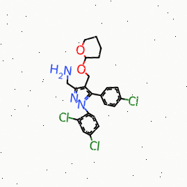 NCc1nn(-c2ccc(Cl)cc2Cl)c(-c2ccc(Cl)cc2)c1COC1CCCCO1